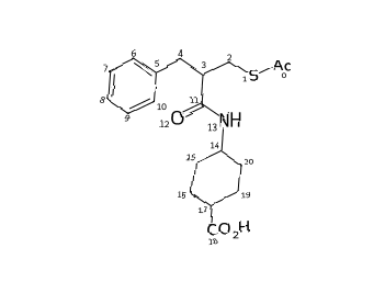 CC(=O)SCC(Cc1ccccc1)C(=O)NC1CCC(C(=O)O)CC1